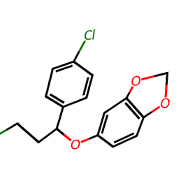 ClCCC(Oc1ccc2c(c1)OCO2)c1ccc(Cl)cc1